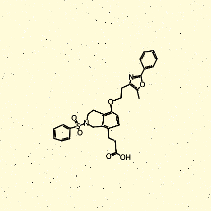 Cc1oc(-c2ccccc2)nc1CCOc1ccc(CCC(=O)O)c2c1CCN(S(=O)(=O)c1ccccc1)C2